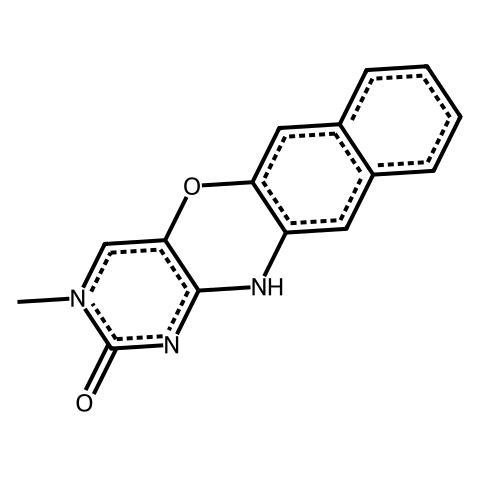 Cn1cc2c(nc1=O)Nc1cc3ccccc3cc1O2